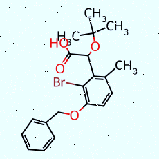 Cc1ccc(OCc2ccccc2)c(Br)c1C(OC(C)(C)C)C(=O)O